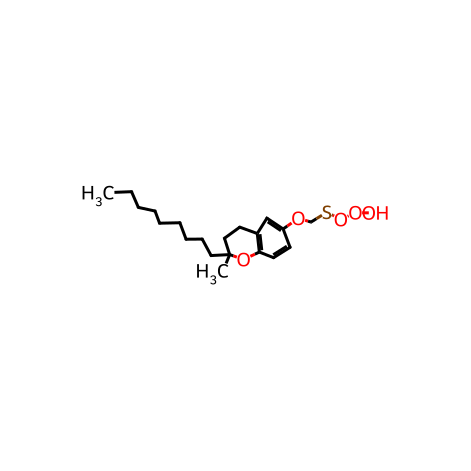 CCCCCCCCCC1(C)CCc2cc(OCSOOO)ccc2O1